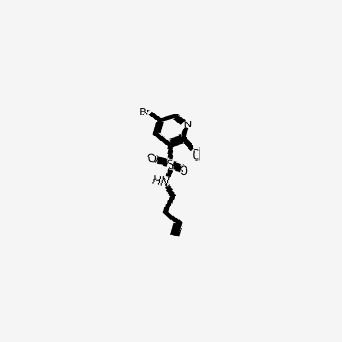 C=CCCNS(=O)(=O)c1cc(Br)cnc1Cl